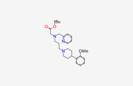 COc1ccccc1C1CCN(CCCN(CC(=O)OC(C)(C)C)Cc2ccccn2)CC1